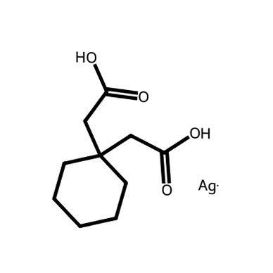 O=C(O)CC1(CC(=O)O)CCCCC1.[Ag]